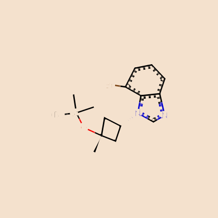 CC(C)(C)[Si](C)(C)O[C@]1(C)C[C@H](n2cnc3cccc(Br)c32)C1